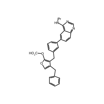 CC(C)Nc1ncnc2ccc(-c3cccc(Cc4c(Cc5ccccc5)coc4OC(=O)O)c3)cc12